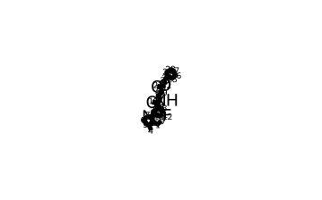 CCc1c(C)ccnc1-c1cc(F)cc(C(=O)NCCC(=O)OCc2ccccc2)c1